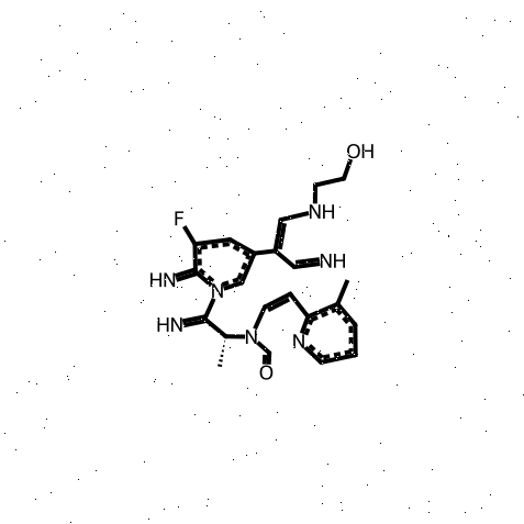 Cc1cccnc1/C=C\N(C=O)[C@H](C)C(=N)n1cc(/C(C=N)=C/NCCO)cc(F)c1=N